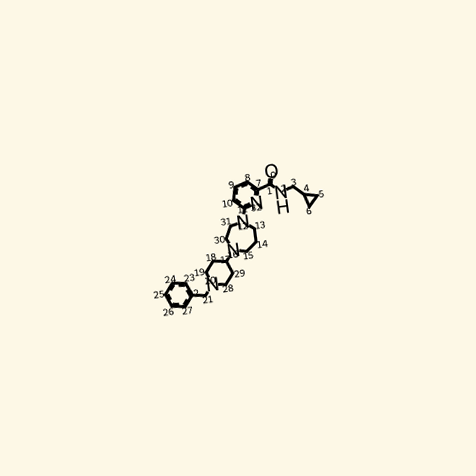 O=C(NCC1CC1)c1cccc(N2CCCN(C3CCN(Cc4ccccc4)CC3)CC2)n1